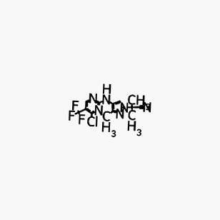 Cc1nn(C(C)(C)C#N)cc1Nc1ncc(C(F)(F)F)c(Cl)n1